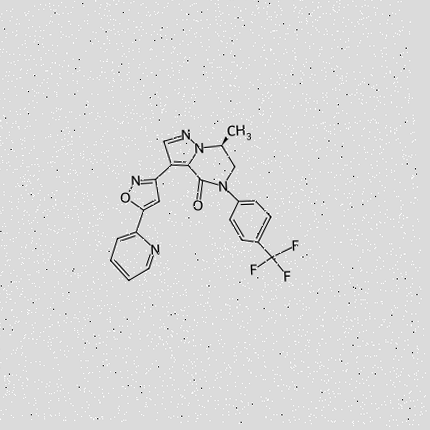 C[C@H]1CN(c2ccc(C(F)(F)F)cc2)C(=O)c2c(-c3cc(-c4ccccn4)on3)cnn21